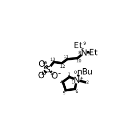 CCCC[N+]1(C)CCCC1.CCN(CC)CCCCS(=O)(=O)[O-]